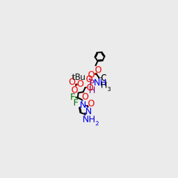 C[C@H](N[PH](=O)OCC1OC(n2ccc(N)nc2=O)C(F)(F)C1OC(=O)OC(C)(C)C)C(=O)OCc1ccccc1